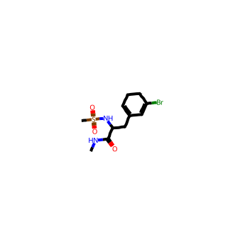 CNC(=O)C(CC1=CC[CH]C(Br)=C1)NS(C)(=O)=O